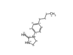 CCCCc1ccc(N2CCNC2=N)cc1